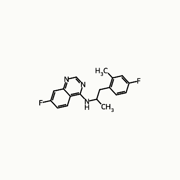 Cc1cc(F)ccc1CC(C)Nc1ncnc2cc(F)ccc12